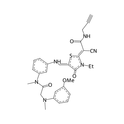 C#CCNC(=O)C(C#N)=c1sc(=CNc2cccc(N(C)C(=O)CN(C)c3cccc(OC)c3)c2)c(=O)n1CC